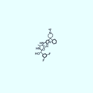 CC(NC(=O)C(O)c1cc(F)cc(F)c1)C(=O)Nc1cc(C2(c3ccccc3)CCN(C3CC3)CC2)n[nH]1